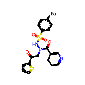 CC(C)(C)c1ccc(S(=O)(=O)NN(CC(=O)c2cccs2)C(=O)C2=CN=CCC2)cc1